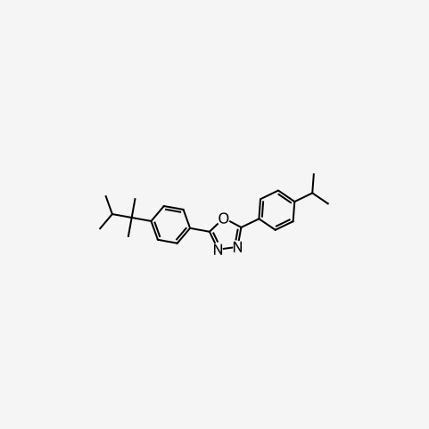 CC(C)c1ccc(-c2nnc(-c3ccc(C(C)(C)C(C)C)cc3)o2)cc1